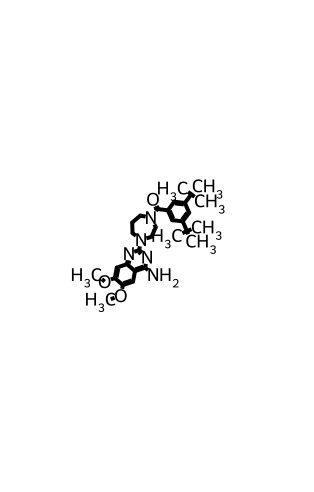 COc1cc2nc(N3CCCN(C(=O)c4cc(C(C)(C)C)cc(C(C)(C)C)c4)CC3)nc(N)c2cc1OC